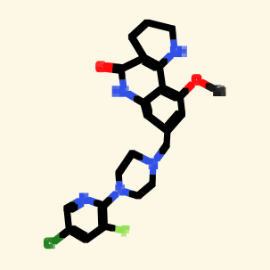 CCOc1cc(CN2CCN(c3ncc(Cl)cc3F)CC2)cc2[nH]c(=O)c3c(c12)NCCC3